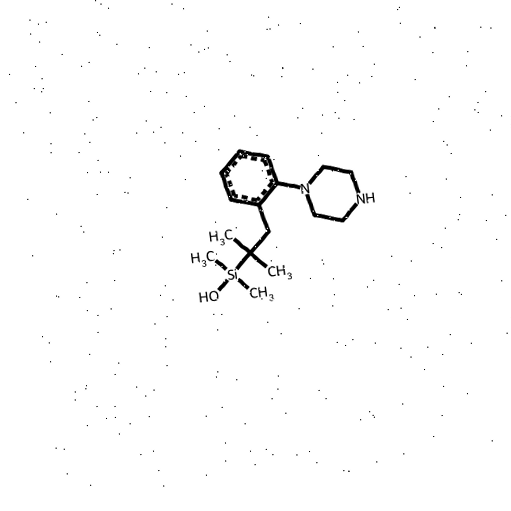 CC(C)(Cc1ccccc1N1CCNCC1)[Si](C)(C)O